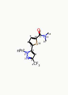 CCCn1nc(C(F)(F)F)cc1-c1ccc(C(=O)N(C)C)s1